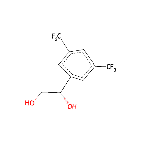 OC[C@@H](O)c1cc(C(F)(F)F)cc(C(F)(F)F)c1